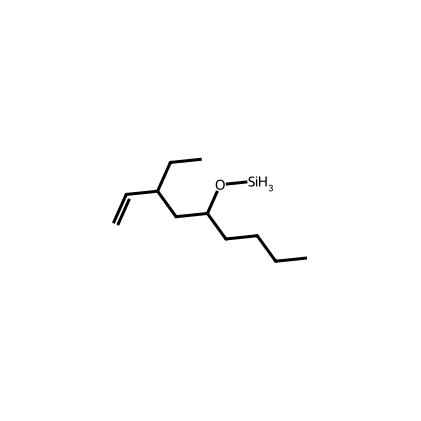 C=CC(CC)CC(CCCC)O[SiH3]